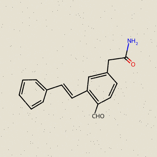 NC(=O)Cc1ccc(C=O)c(C=Cc2ccccc2)c1